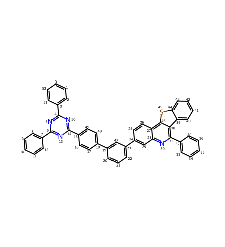 c1ccc(-c2nc(-c3ccccc3)nc(-c3ccc(-c4cccc(-c5ccc6c(c5)nc(-c5ccccc5)c5c7ccccc7sc65)c4)cc3)n2)cc1